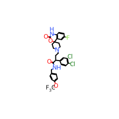 O=C1Nc2ccc(F)cc2C2(CCN(CCC(C(=O)NCc3ccc(OC(F)(F)F)cc3)c3ccc(Cl)c(Cl)c3)CC2)O1